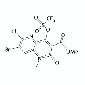 COC(=O)c1c(OS(=O)(=O)C(F)(F)F)c2nc(Cl)c(Br)cc2n(C)c1=O